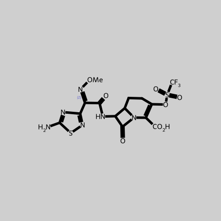 CO/N=C(\C(=O)NC1C(=O)N2C(C(=O)O)=C(OS(=O)(=O)C(F)(F)F)CCC12)c1nsc(N)n1